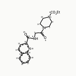 CCOC(=O)N1CCN(C(=O)CNC(=O)c2ccc3ccccc3n2)CC1